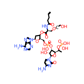 C=CCCC(=O)N[C@@H](COCCO)C(=O)OC1C[C@H](n2cnc3c(N)ncnc32)O[C@@H]1COP(=O)(O)O[C@H]1[C@@H](O)[C@H](n2ccc(N)nc2=O)O[C@@H]1C(C)OP(=O)(O)O